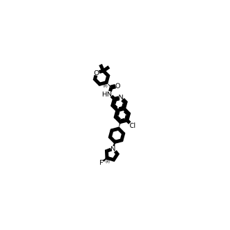 CC1(C)C[C@H](C(=O)Nc2cc3cc([C@H]4CC[C@H](N5CC[C@@H](F)C5)CC4)c(Cl)cc3cn2)CCO1